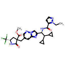 CCn1nccc1C(=O)N[C@H](c1cn2ncc(CC3(C(=O)OC)C[C@@H](C(F)(F)F)NC3=O)cc2n1)C(C1CC1)C1CC1